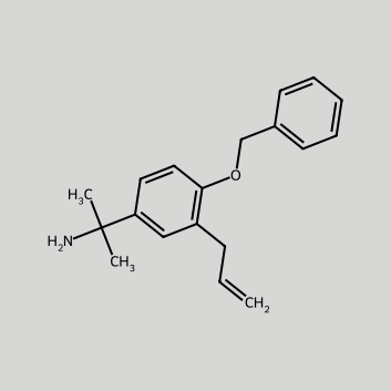 C=CCc1cc(C(C)(C)N)ccc1OCc1ccccc1